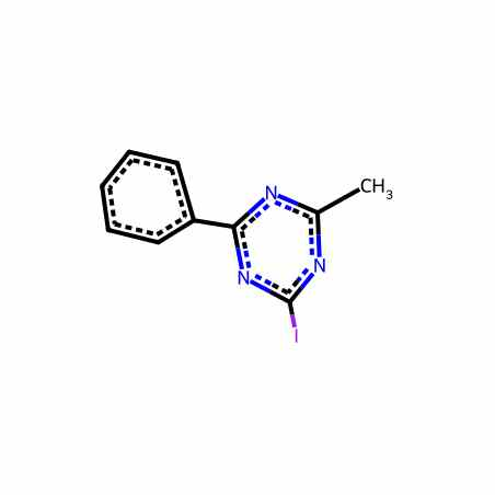 Cc1nc(I)nc(-c2ccccc2)n1